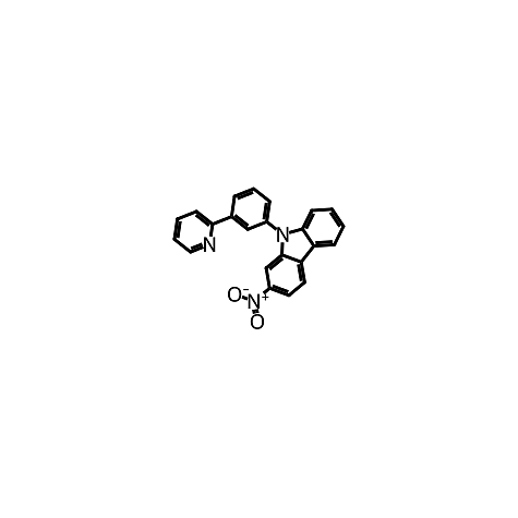 O=[N+]([O-])c1ccc2c3ccccc3n(-c3cccc(-c4ccccn4)c3)c2c1